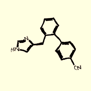 N#Cc1ccc(-c2ccccc2Cc2c[nH]cn2)cc1